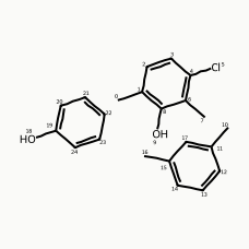 Cc1ccc(Cl)c(C)c1O.Cc1cccc(C)c1.Oc1ccccc1